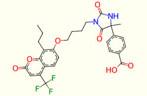 CCCc1c(OCCCCN2C(=O)NC(C)(c3ccc(C(=O)O)cc3)C2=O)ccc2c(C(F)(F)F)cc(=O)oc12